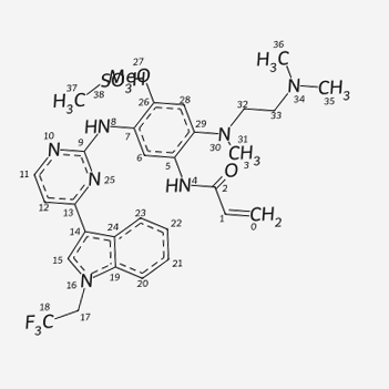 C=CC(=O)Nc1cc(Nc2nccc(-c3cn(CC(F)(F)F)c4ccccc34)n2)c(OC)cc1N(C)CCN(C)C.CS(=O)(=O)O